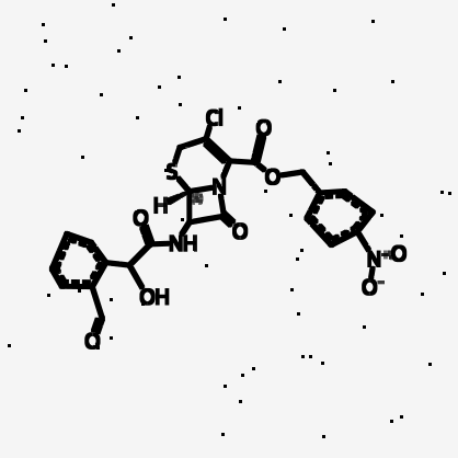 O=Cc1ccccc1C(O)C(=O)NC1C(=O)N2C(C(=O)OCc3ccc([N+](=O)[O-])cc3)=C(Cl)CS[C@@H]12